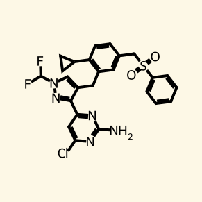 Nc1nc(Cl)cc(-c2nn(C(F)F)cc2Cc2cc(CS(=O)(=O)c3ccccc3)ccc2C2CC2)n1